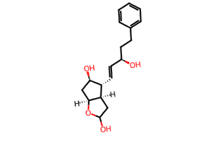 OC1C[C@@H]2[C@@H](/C=C/[C@H](O)CCc3ccccc3)[C@H](O)C[C@@H]2O1